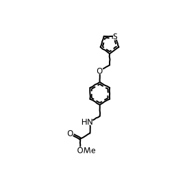 COC(=O)CNCc1ccc(OCc2ccsc2)cc1